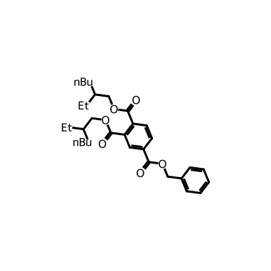 CCCCC(CC)COC(=O)c1ccc(C(=O)OCc2ccccc2)cc1C(=O)OCC(CC)CCCC